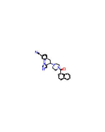 N#Cc1ccc(CC(c2cnc[nH]2)N2CCN(C(=O)c3cccc4ccccc34)CC2)cc1